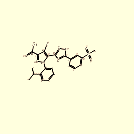 CC(C)c1ccccc1-n1nc(C(=O)O)c(Cl)c1-c1nsc(-c2cccc(S(C)(=O)=O)c2)n1